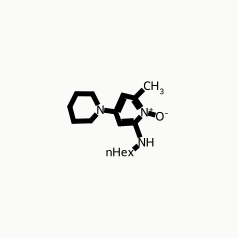 CCCCCCNc1cc(N2CCCCC2)cc(C)[n+]1[O-]